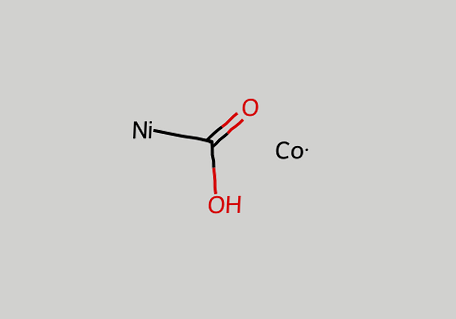 O=[C](O)[Ni].[Co]